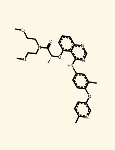 COCCN(CCOC)C(=O)[C@@H](C)Oc1cccc2ncnc(Nc3ccc(Oc4ccc(C)nc4)c(C)c3)c12